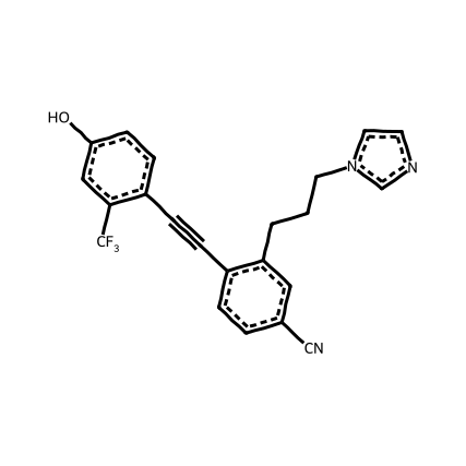 N#Cc1ccc(C#Cc2ccc(O)cc2C(F)(F)F)c(CCCn2ccnc2)c1